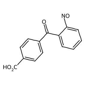 O=Nc1ccccc1C(=O)c1ccc(C(=O)O)cc1